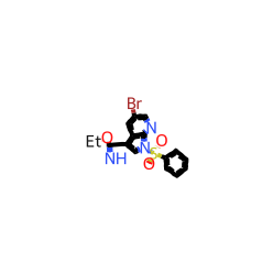 CCOC(=N)c1cn(S(=O)(=O)c2ccccc2)c2ncc(Br)cc12